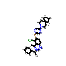 C=C1c2c(ccc(Sc3cnc(N4CCC5(CCCC5)CC4)cn3)c2Cl)N=CN1C(C)c1ccccc1